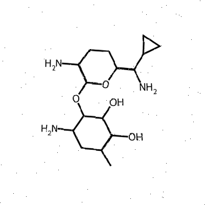 CC1CC(N)C(OC2OC(C(N)C3CC3)CCC2N)C(O)C1O